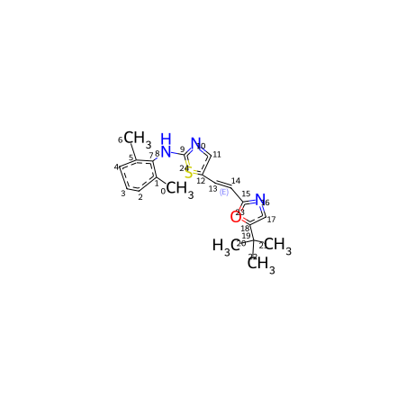 Cc1cccc(C)c1Nc1ncc(/C=C/c2ncc(C(C)(C)C)o2)s1